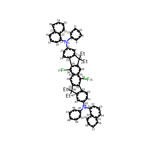 CCC1(CC)c2cc(N(c3ccccc3)c3cccc4ccccc34)ccc2-c2c1cc1c(F)c3c(cc1c2F)C(CC)(CC)c1cc(N(c2ccccc2)c2cccc4ccccc24)ccc1-3